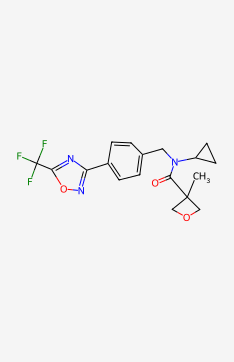 CC1(C(=O)N(Cc2ccc(-c3noc(C(F)(F)F)n3)cc2)C2CC2)COC1